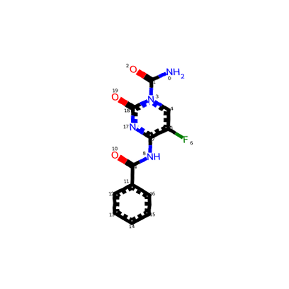 NC(=O)n1cc(F)c(NC(=O)c2ccccc2)nc1=O